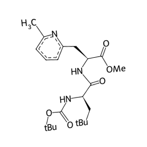 COC(=O)[C@H](Cc1cccc(C)n1)NC(=O)[C@@H](CC(C)(C)C)NC(=O)OC(C)(C)C